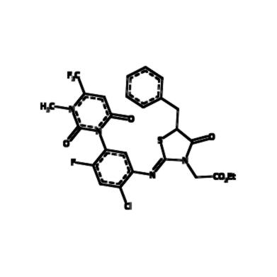 CCOC(=O)CN1C(=O)C(Cc2ccccc2)S/C1=N\c1cc(-n2c(=O)cc(C(F)(F)F)n(C)c2=O)c(F)cc1Cl